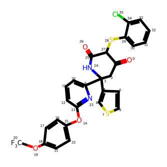 O=C1CC(c2ccsc2)(c2cccc(Oc3ccc(OC(F)(F)F)cc3)n2)NC(=O)C1Sc1ccccc1Cl